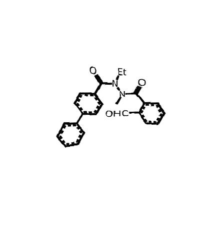 CCN(C(=O)c1ccc(-c2ccccc2)cc1)N(C)C(=O)c1ccccc1C=O